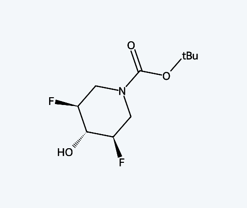 CC(C)(C)OC(=O)N1C[C@@H](F)[C@H](O)[C@@H](F)C1